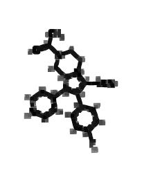 CC(=O)N1CCn2c(C#N)c(-c3ccc(F)cc3)c(-c3ccncc3)c2C1